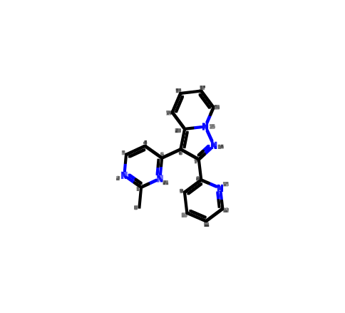 Cc1nccc(-c2c(-c3ccccn3)nn3ccccc23)n1